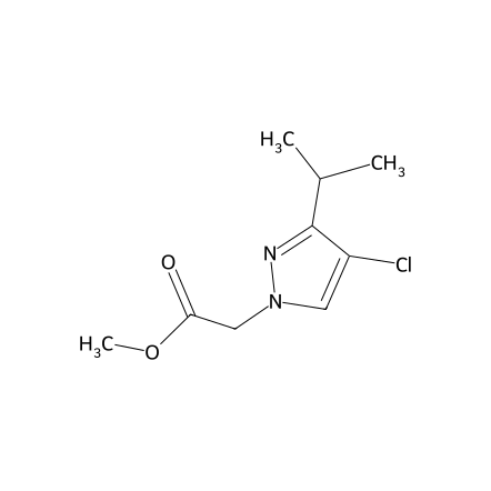 COC(=O)Cn1cc(Cl)c(C(C)C)n1